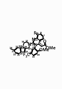 COC(=O)CC1c2cccc(F)c2N=C(N2CCn3c(cc4ccc(C)cc43)C2)N1c1cc(C(F)(F)F)ccc1OC